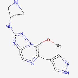 CC(C)Oc1c(-c2cn[nH]c2)ncc2nc(NC3CNC3)nn12